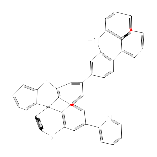 c1ccc(Nc2cc(-c3ccc4c(c3)Sc3ccccc3C43c4ccccc4Sc4cc(-c5ccccn5)ccc43)ccc2-c2ccccc2)cc1